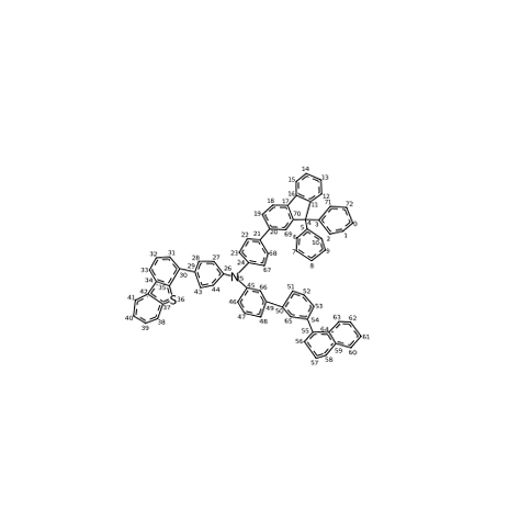 c1ccc(C2(c3ccccc3)c3ccccc3-c3ccc(-c4ccc(N(c5ccc(-c6cccc7c6sc6ccccc67)cc5)c5cccc(-c6cccc(-c7cccc8ccccc78)c6)c5)cc4)cc32)cc1